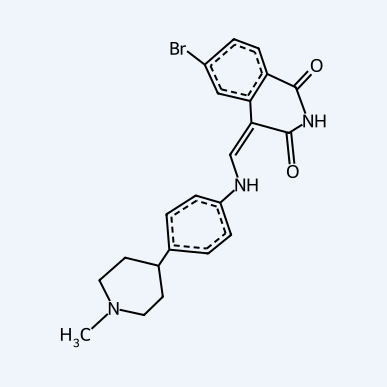 CN1CCC(c2ccc(NC=C3C(=O)NC(=O)c4ccc(Br)cc43)cc2)CC1